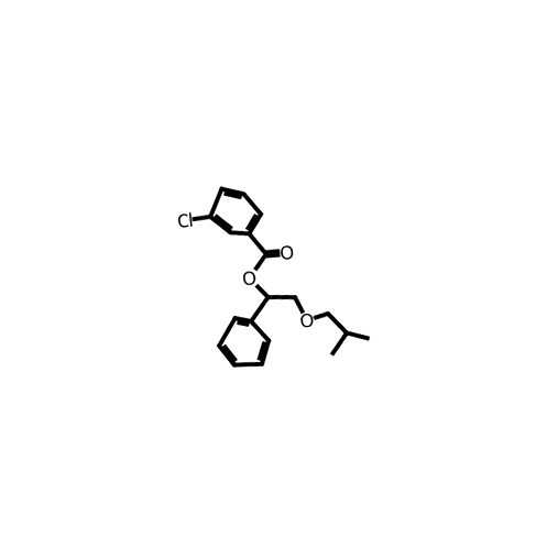 CC(C)COCC(OC(=O)c1cccc(Cl)c1)c1ccccc1